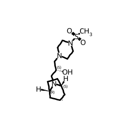 CS(=O)(=O)N1CCN(C[C@H](O)CN2[C@@H]3C[CH]C[C@H]2CC3)CC1